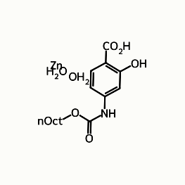 CCCCCCCCOC(=O)Nc1ccc(C(=O)O)c(O)c1.O.O.[Zn]